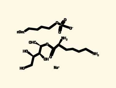 CCCCCCCCCCCCCCOS(=O)(=O)[O-].NCCCC[C@H](N)C(=O)O[C@@H](C=O)[C@@H](O)[C@H](O)CO.[Na+]